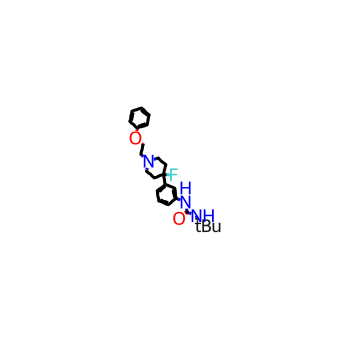 CC(C)(C)NC(=O)Nc1cccc(C2(F)CCN(CCOc3ccccc3)CC2)c1